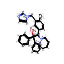 N#Cc1ccc(C(N2CCCCC2)C(O)(c2ccccc2)c2ccccc2)cc1Cn1ccnc1